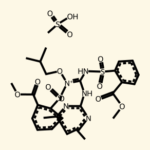 COC(=O)c1ccccc1S(=O)(=O)NC(Nc1nc(C)cc(C)n1)=[N+](OCC(C)C)S(=O)(=O)c1ccccc1C(=O)OC.CS(=O)(=O)O